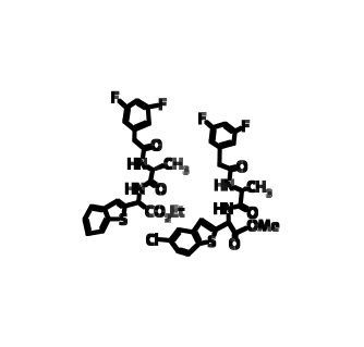 CCOC(=O)C(NC(=O)[C@H](C)NC(=O)Cc1cc(F)cc(F)c1)c1cc2ccccc2s1.COC(=O)C(NC(=O)[C@H](C)NC(=O)Cc1cc(F)cc(F)c1)c1cc2cc(Cl)ccc2s1